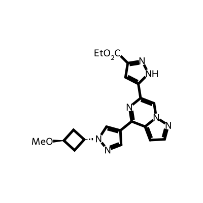 CCOC(=O)c1cc(-c2cn3nccc3c(-c3cnn([C@H]4C[C@H](OC)C4)c3)n2)[nH]n1